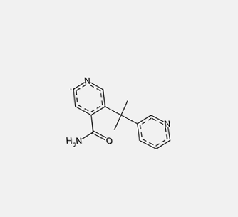 CC(C)(c1cccnc1)c1cn[c]cc1C(N)=O